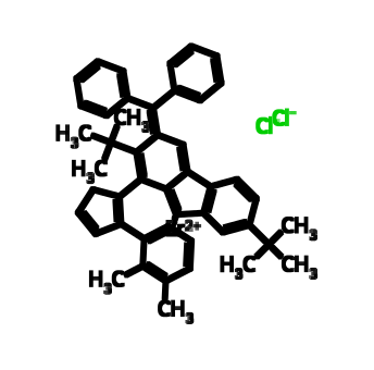 Cc1cccc(C2=C(c3c(C(C)(C)C)c(=C(c4ccccc4)c4ccccc4)cc4c3=[C]([Zr+2])c3cc(C(C)(C)C)ccc3-4)CC=C2)c1C.[Cl-].[Cl-]